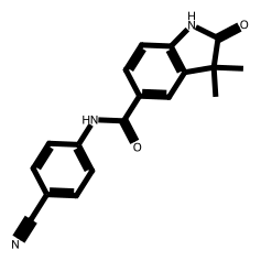 CC1(C)C(=O)Nc2ccc(C(=O)Nc3ccc(C#N)cc3)cc21